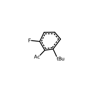 CC(=O)c1c(F)cccc1C(C)(C)C